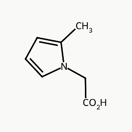 Cc1cccn1CC(=O)O